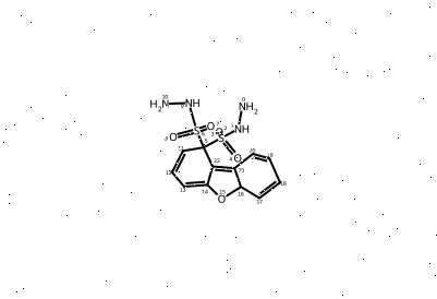 NNS(=O)(=O)C1(S(=O)(=O)NN)C=CC=C2OC3C=CC=CC3=C21